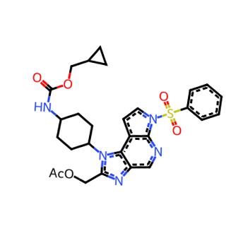 CC(=O)OCc1nc2cnc3c(ccn3S(=O)(=O)c3ccccc3)c2n1C1CCC(NC(=O)OCC2CC2)CC1